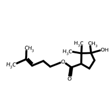 CC(C)=CCCOC(=O)C1CCC(C)(O)C1(C)C